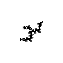 CC(=O)O.CC(C)=CCCC(C)=CCCC(C)=CCCC(C)=CCO